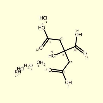 Cl.Cl.O.O.O=C(O)CC(O)(CC(=O)O)C(=O)O.[KH]